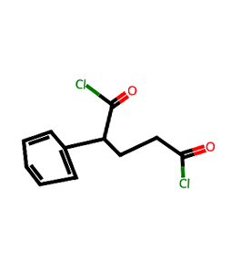 O=C(Cl)CCC(C(=O)Cl)c1ccccc1